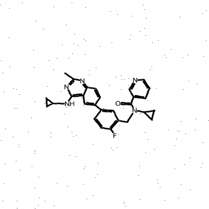 Cc1nc(NC2CC2)c2cc(-c3ccc(F)c(CN(C(=O)c4cccnc4)C4CC4)c3)ccc2n1